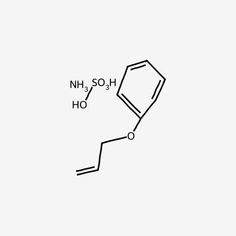 C=CCOc1ccccc1.N.O=S(=O)(O)O